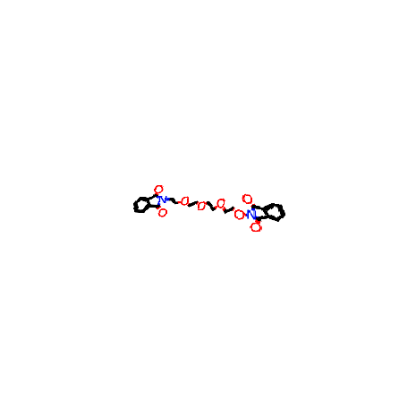 O=C1c2ccccc2C(=O)N1CCOCCOCCOCCON1C(=O)c2ccccc2C1=O